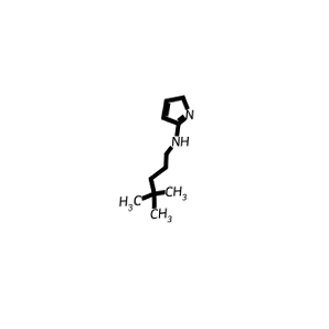 CC(C)(C)CCCNC1=NCC=C1